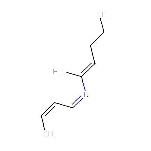 C\C=C/C=N\C(C)=C\CCC